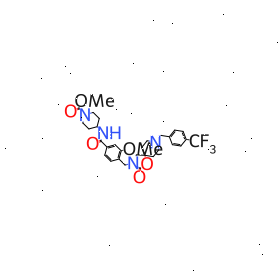 COC(=O)N1CCC(NC(=O)c2ccc(CN3CC4(CCN(Cc5ccc(C(F)(F)F)cc5)CC4)OC3=O)c(OC)c2)CC1